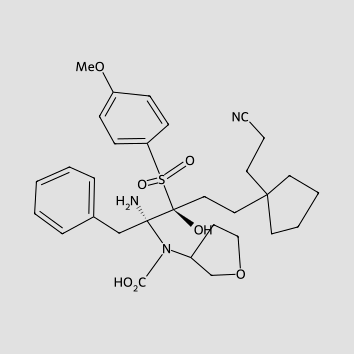 COc1ccc(S(=O)(=O)[C@](O)(CCC2(CCC#N)CCCC2)[C@](N)(Cc2ccccc2)N(C(=O)O)C2CCOC2)cc1